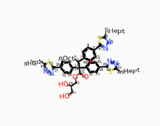 CCCCCCCCC(c1ccc(-c2nnc(CCCCCCC)s2)cc1)C(C(=O)OCC(O)CO)(c1ccc(-c2nnc(CCCCCCC)s2)cc1)c1ccc(-c2nnc(CCCCCCC)s2)cc1